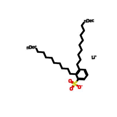 CCCCCCCCCCCCCCCCCCCc1cccc(S(=O)(=O)[O-])c1CCCCCCCCCCCCCCCCCCC.[Li+]